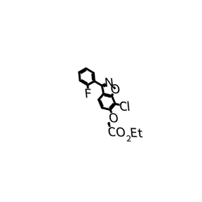 CCOC(=O)COc1ccc2c(-c3ccccc3F)noc2c1Cl